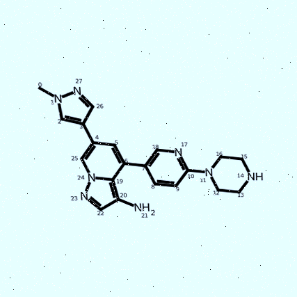 Cn1cc(-c2cc(-c3ccc(N4CCNCC4)nc3)c3c(N)cnn3c2)cn1